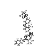 CC1(C)c2ccc(B3OC(C)(C)C(C)(C)O3)cc2Oc2ccc(-c3ncc([C@@H]4CCCN4C(=O)OCc4ccccc4)[nH]3)cc21